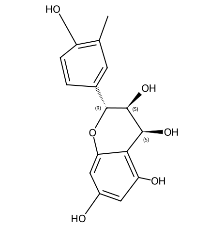 Cc1cc([C@H]2Oc3cc(O)cc(O)c3[C@H](O)[C@@H]2O)ccc1O